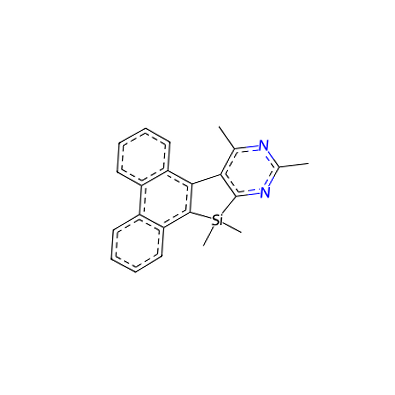 Cc1nc(C)c2c(n1)[Si](C)(C)c1c-2c2ccccc2c2ccccc12